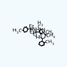 CCC(CC)(NC(=O)c1c(C)nn2c1NC(c1ccccc1C)CC2(C)C)c1ccc(C)cc1